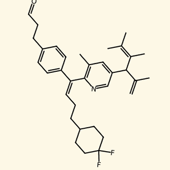 C=C(C)C(C(C)=C(C)C)c1cnc(/C(=C\CCC2CCC(F)(F)CC2)c2ccc(CCC=O)cc2)c(C)c1